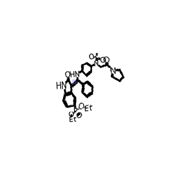 CCOP(=O)(OCC)c1ccc2c(c1)/C(=C(/Nc1ccc(N(CC(=O)N3CCCC3)S(C)(=O)=O)cc1)c1ccccc1)C(=O)N2